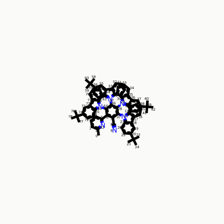 Cc1cccc(-c2c(C#N)c(-n3c4ccccc4c4cc(C(C)(C)C)ccc43)c(-n3c4ccccc4c4cc(C(C)(C)C)ccc43)c(-n3c4ccccc4c4cc(C(C)(C)C)ccc43)c2-n2c3ccccc3c3cc(C(C)(C)C)ccc32)n1